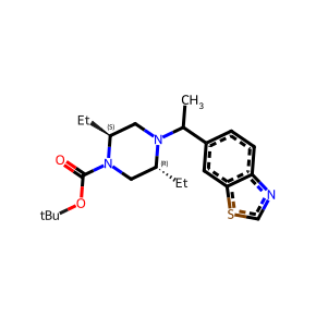 CC[C@H]1CN(C(C)c2ccc3ncsc3c2)[C@H](CC)CN1C(=O)OC(C)(C)C